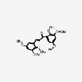 COc1cc(OC(C)(C)C)cc(C=CC(=O)c2cc(OC(C)(C)C)cc(OC(C)(C)C)c2OC(C)(C)C)c1OC(C)(C)C